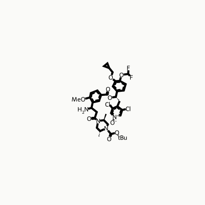 COc1ccc(C(=O)O[C@@H](Cc2c(Cl)c[n+]([O-])cc2Cl)c2ccc(OC(F)F)c(OCC3CC3)c2)cc1C(N)CC(=O)N1C[C@@H](C)N(C(=O)OC(C)(C)C)C[C@@H]1C